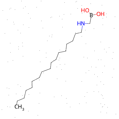 CCCCCCCCCCCCCCCCCNCB(O)O